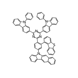 c1ccc(-n2c3ccccc3c3ccc(-c4nc(-c5ccc6c7ccccc7n(-c7ccccc7)c6c5)nc(-c5ccc(-n6c7ccccc7c7cc8ccccc8cc76)cc5-c5cccc6sc7ccccc7c56)n4)cc32)cc1